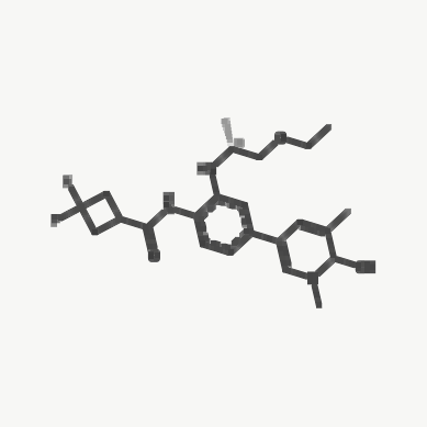 CCOC[C@@H](C)Nc1cc(C2=CN(C)C(O)C(C)=C2)ccc1NC(=O)C1CC(F)(F)C1